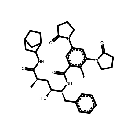 C[C@H](C[C@H](O)[C@H](Cc1ccccc1)NC(=O)c1cc(N2CCCC2=O)cc(N2CCCC2=O)c1F)C(=O)NC1CC2CCC1C2